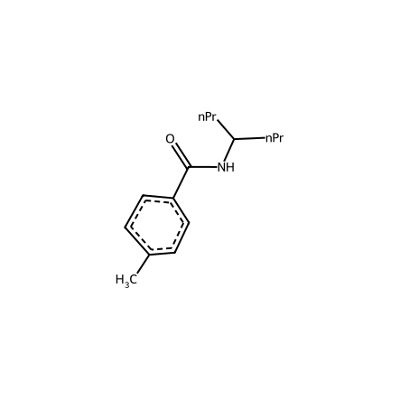 CCCC(CCC)NC(=O)c1ccc(C)cc1